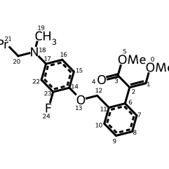 CO/C=C(\C(=O)OC)c1ccccc1COc1ccc(N(C)CC(C)C)cc1F